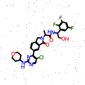 CC(C(=O)NC(CO)c1cc(F)cc(F)c1F)N1Cc2ccc(-c3nc(NC4CCOCC4)ncc3Cl)cc2C1=O